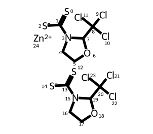 S=C([S-])N1CCOC1C(Cl)(Cl)Cl.S=C([S-])N1CCOC1C(Cl)(Cl)Cl.[Zn+2]